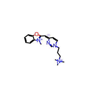 C[n+]1c(/C=C2/C=CN(CCC[N+](C)(C)C)C=N2)oc2ccccc21